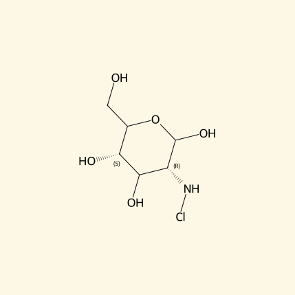 OCC1OC(O)[C@H](NCl)C(O)[C@@H]1O